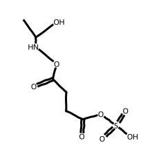 CC(O)NOC(=O)CCC(=O)OS(=O)(=O)O